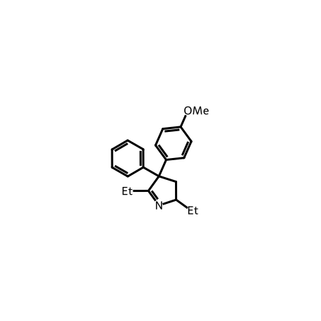 CCC1=NC(CC)CC1(c1ccccc1)c1ccc(OC)cc1